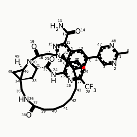 Cc1ncc(-c2cc3c4c(c2)c(C(N)=O)nn4CC(=O)N2[C@H](C(=O)Nc4nc(C(F)(F)F)ccc4C)C[C@@]4(CNC(=O)CCCCCC3)C[C@@H]24)cn1